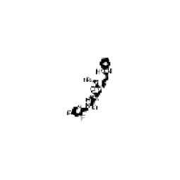 CC(C)(C)OC(=O)N(CCCc1nc2ccccc2[nH]1)Cc1nc(C(=O)NCc2ncc(F)cc2F)cs1